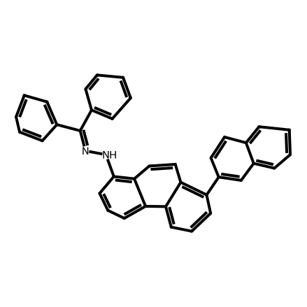 c1ccc(C(=NNc2cccc3c2ccc2c(-c4ccc5ccccc5c4)cccc23)c2ccccc2)cc1